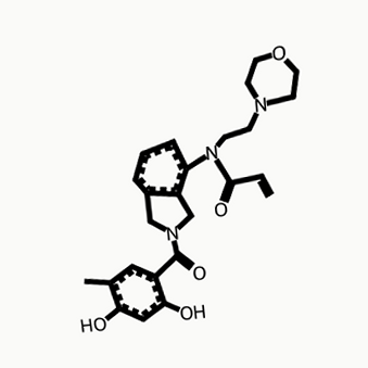 C=CC(=O)N(CCN1CCOCC1)c1cccc2c1CN(C(=O)c1cc(C)c(O)cc1O)C2